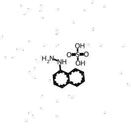 NNc1cccc2ccccc12.O=S(=O)(O)O